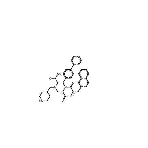 NC(=O)CN(CC1CCNCC1)C[C@H]1C(=O)N[C@@H](Cc2ccc3ccccc3c2)C(=O)N1Cc1ccc(-c2ccccc2)cc1